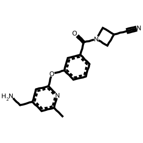 Cc1cc(CN)cc(Oc2cccc(C(=O)N3CC(C#N)C3)c2)n1